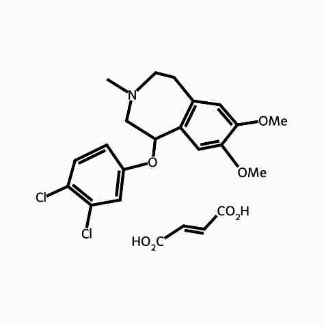 COc1cc2c(cc1OC)C(Oc1ccc(Cl)c(Cl)c1)CN(C)CC2.O=C(O)C=CC(=O)O